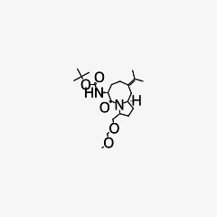 COCOCC1CC[C@@H]2CC(=C(C)C)CC[C@H](NC(=O)OC(C)(C)C)C(=O)N12